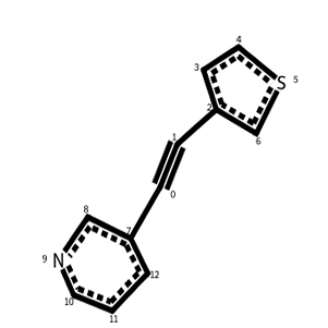 C(#Cc1ccsc1)c1[c]nccc1